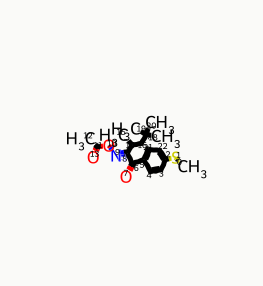 CSc1ccc(C(=O)/C(=N/OC(C)=O)C(C)CC(C)(C)C)cc1